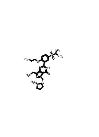 CCCOc1ccc(S(=O)(=O)C(C)C)cc1-c1nc2c(CC)nn(C[C@@H]3CCCN3C)c2c(=O)[nH]1